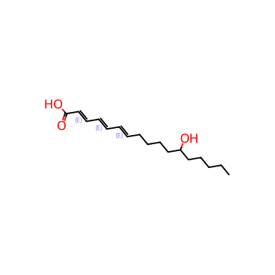 CCCCCC(O)CCCC/C=C/C=C/C=C/C(=O)O